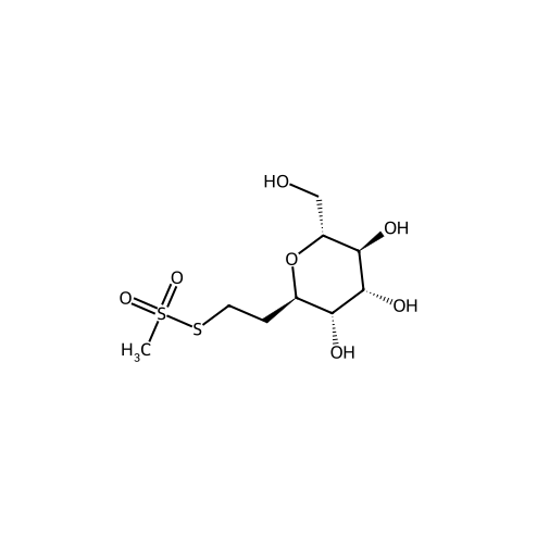 CS(=O)(=O)SCC[C@H]1O[C@H](CO)[C@@H](O)[C@H](O)[C@@H]1O